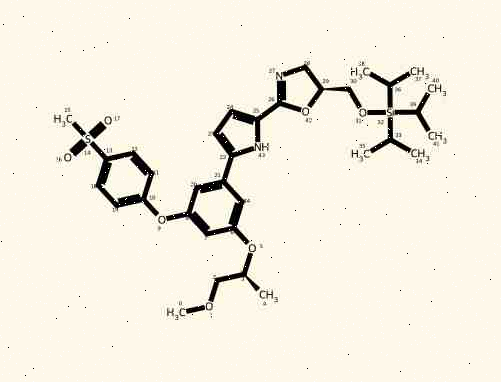 COC[C@H](C)Oc1cc(Oc2ccc(S(C)(=O)=O)cc2)cc(-c2ccc(C3=NC[C@@H](CO[Si](C(C)C)(C(C)C)C(C)C)O3)[nH]2)c1